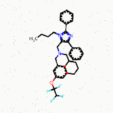 CCCCn1c(-c2ccccc2)nc(-c2ccccc2)c1CN(Cc1cccc(OC(F)(F)C(F)F)c1)CC1CCCCC1